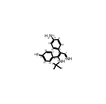 CC(C)(C)N/C(=C(\C=N)c1ccc(N)cc1)c1ccc(F)cc1